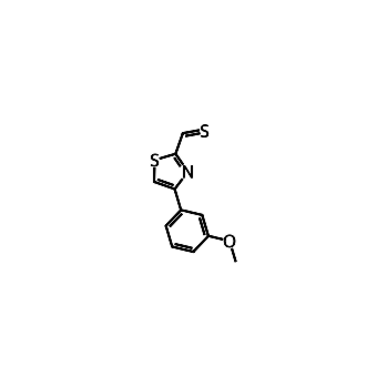 COc1cccc(-c2csc(C=S)n2)c1